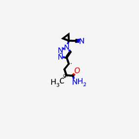 C[C@@H](C[CH]c1cn(C2(C#N)CC2)nn1)C(N)=O